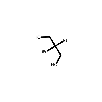 CCC(CO)(CO)C(C)C